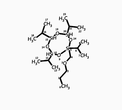 CCCOC[Si]1(C(C)C)O[SiH](C(C)C)O[SiH](C(C)C)O[SiH](C(C)C)O1